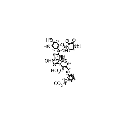 CCN1CCN(C(=O)NC(C(=O)N[C@]2(NC=O)C(=O)N3C(C(=O)O)=C(CSc4nnnn4CC(=O)O)CS[C@@H]32)c2ccc(O)c(O)c2)C(=O)C1=O